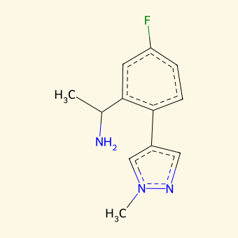 CC(N)c1cc(F)ccc1-c1cnn(C)c1